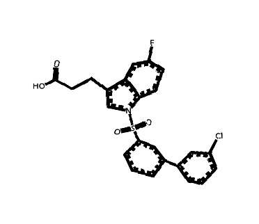 O=C(O)CCc1cn(S(=O)(=O)c2cccc(-c3cccc(Cl)c3)c2)c2ccc(F)cc12